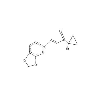 CCC1(C(=O)C=Cc2ccc3c(c2)OCO3)CC1